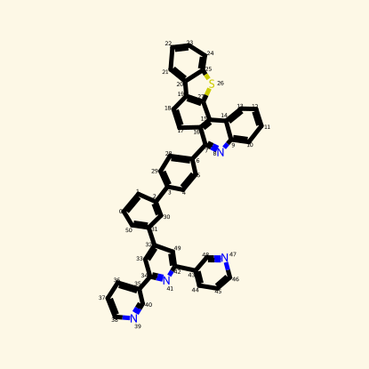 c1cc(-c2ccc(-c3nc4ccccc4c4c3ccc3c5ccccc5sc34)cc2)cc(-c2cc(-c3cccnc3)nc(-c3cccnc3)c2)c1